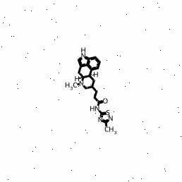 Cc1nsc(NC(=O)CCC2C[C@@H]3c4cccc5[nH]cc(c45)C[C@H]3N(C)C2)n1